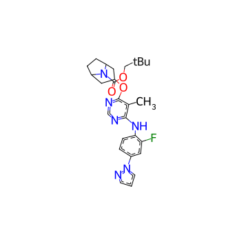 Cc1c(Nc2ccc(-n3cccn3)cc2F)ncnc1OC1CC2CCC(C1)N2C(=O)OCC(C)(C)C